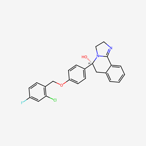 O[C@@]1(c2ccc(OCc3ccc(F)cc3Cl)cc2)Cc2ccccc2C2=NCCN21